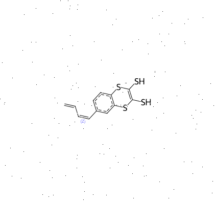 C=C/C=C\c1ccc2c(c1)SC(S)=C(S)S2